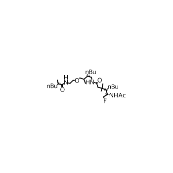 CCCC[C@H](CNC(=O)CC(C)(C)[C@H](CCCC)[C@@H](CF)NC(C)=O)C(C)COCCNC(=O)[C@H](C)CCCC